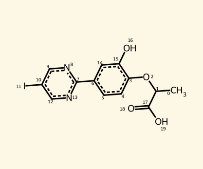 CC(Oc1ccc(-c2ncc(I)cn2)cc1O)C(=O)O